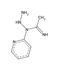 CC(=N)N(NN)c1ccccn1